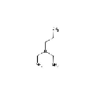 CCCN(CN)CN